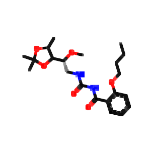 CCCCOc1ccccc1C(=O)NC(=O)NC[C@@H](OC)C1OC(C)(C)OC1C